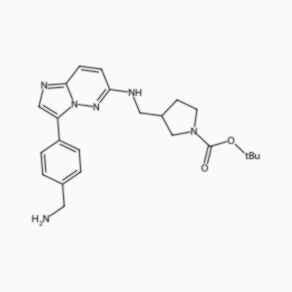 CC(C)(C)OC(=O)N1CCC(CNc2ccc3ncc(-c4ccc(CN)cc4)n3n2)C1